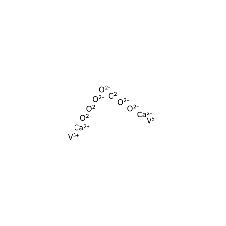 [Ca+2].[Ca+2].[O-2].[O-2].[O-2].[O-2].[O-2].[O-2].[O-2].[V+5].[V+5]